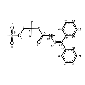 CC(C)(COS(C)(=O)=O)CC(=O)NN=C(c1ccccc1)c1ccccc1